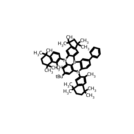 Cc1cc2c(cc1N1c3ccc(-c4ccccc4)cc3B3c4cc5c(cc4N(c4ccc6c(c4C)C(C)(C)CCC6(C)C)c4cc(C(C)(C)C)cc1c43)C(C)(C)CC5(C)C)C(C)(C)CCC2(C)C